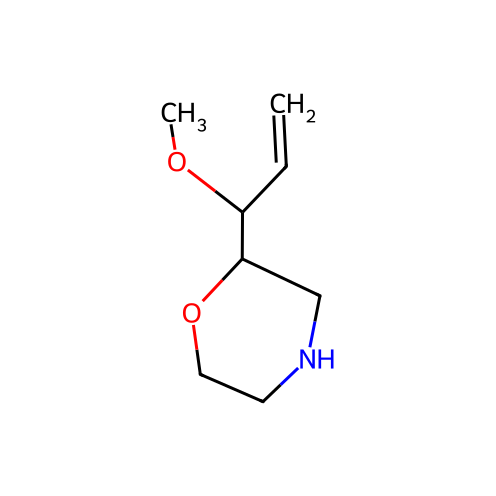 C=CC(OC)C1CNCCO1